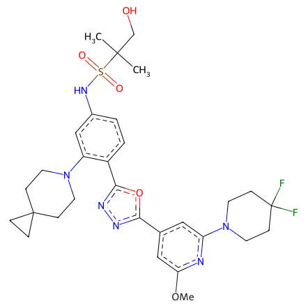 COc1cc(-c2nnc(-c3ccc(NS(=O)(=O)C(C)(C)CO)cc3N3CCC4(CC3)CC4)o2)cc(N2CCC(F)(F)CC2)n1